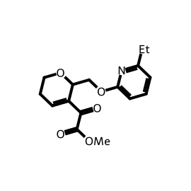 CCc1cccc(OCC2OCCC=C2C(=O)C(=O)OC)n1